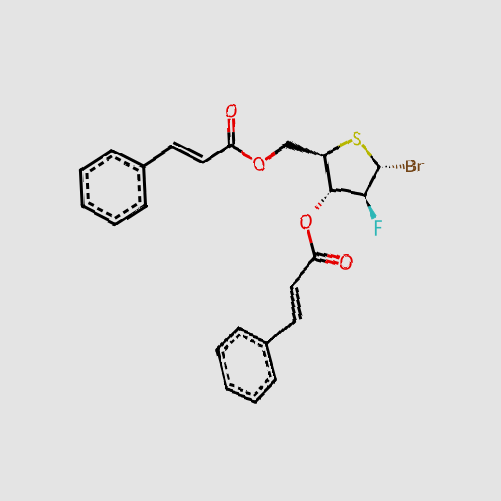 O=C(/C=C/c1ccccc1)OC[C@H]1S[C@H](Br)[C@@H](F)[C@@H]1OC(=O)/C=C/c1ccccc1